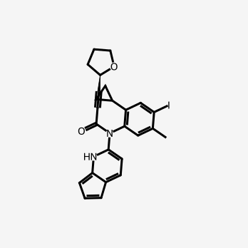 Cc1cc(N(C(=O)C#C[C@H]2CCCO2)c2ccc3cccc-3[nH]2)c(C2CC2)cc1I